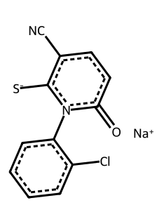 N#Cc1ccc(=O)n(-c2ccccc2Cl)c1[S-].[Na+]